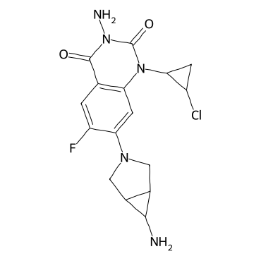 NC1C2CN(c3cc4c(cc3F)c(=O)n(N)c(=O)n4C3CC3Cl)CC12